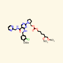 COc1ccc(CNc2nc(N3CCC[C@H]3COC(=O)OCCCCC(CO[N+](=O)[O-])O[N+](=O)[O-])ncc2C(=O)NCc2ncccn2)cc1Cl